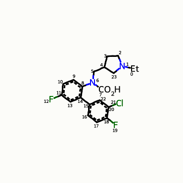 CCN1CCC(CN(C(=O)O)c2ccc(F)cc2-c2ccc(F)c(Cl)c2)C1